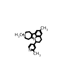 Cc1cc2c3c(c1)c1c(n3C(c3ccnc(C)c3)CC2)CCN(C)CC1